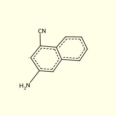 N#Cc1[c]c(N)cc2ccccc12